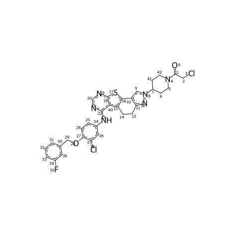 O=C(CCl)N1CCC(n2cc3c(n2)CCc2c-3sc3ncnc(Nc4ccc(OCc5cccc(F)c5)c(Cl)c4)c23)CC1